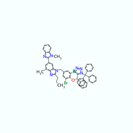 CCCc1nc2c(C)cc(-c3nc4ccccc4n3C)cc2n1Cc1cc(Br)c(OC(c2ccccc2)c2nnnn2C(c2ccccc2)(c2ccccc2)c2ccccc2)c(Br)c1